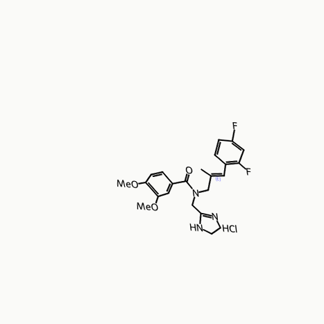 COc1ccc(C(=O)N(CC2=NCCN2)C/C(C)=C/c2ccc(F)cc2F)cc1OC.Cl